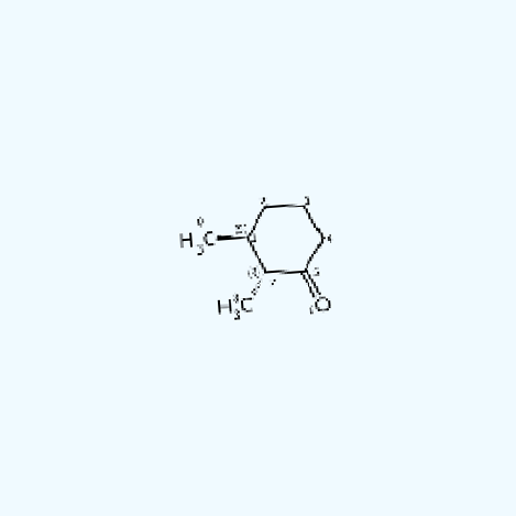 C[C@H]1CCCC(=O)[C@@H]1C